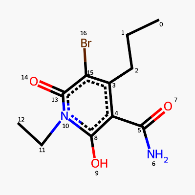 CCCc1c(C(N)=O)c(O)n(CC)c(=O)c1Br